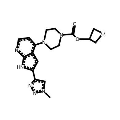 Cn1cc(-c2cc3c(N4CCN(C(=O)OC5COC5)CC4)ccnc3[nH]2)nn1